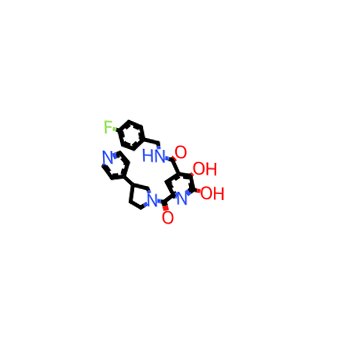 O=C(NCc1ccc(F)cc1)c1cc(C(=O)N2CCC(c3ccncc3)C2)nc(O)c1O